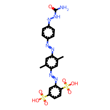 Cc1cc(/N=N/c2cc(S(=O)(=O)O)ccc2S(=O)(=O)O)c(C)cc1/N=N/c1ccc([N]NC(N)=O)cc1